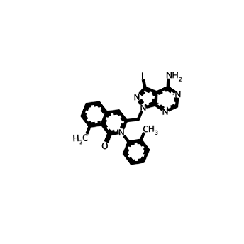 Cc1ccccc1-n1c(Cn2nc(I)c3c(N)ncnc32)cc2cccc(C)c2c1=O